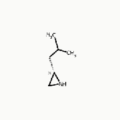 CC(C)C[C@H]1CN1